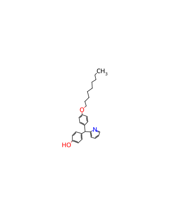 CCCCCCCCCOc1ccc(C(c2ccc(O)cc2)c2ccccn2)cc1